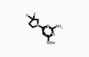 CNc1cc(N2CCC(F)(F)C2)nc(N)n1